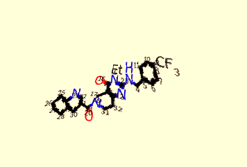 CCn1c(NCc2ccc(C(F)(F)F)cc2)nc2c(c1=O)CN(C(=O)c1cnc3ccccc3c1)CC2